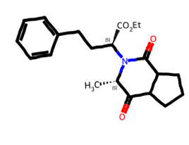 CCOC(=O)[C@H](CCc1ccccc1)N1C(=O)C2CCCC2C(=O)[C@@H]1C